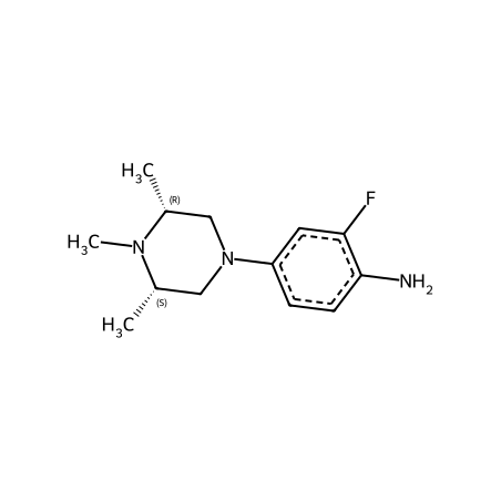 C[C@@H]1CN(c2ccc(N)c(F)c2)C[C@H](C)N1C